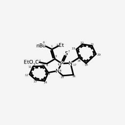 CCCC/C(CC)=C(\CC(=O)OCC)P1(=S)N(c2ccccc2)CCN1c1ccccc1